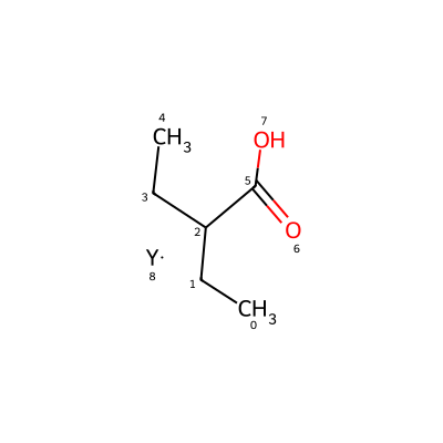 CCC(CC)C(=O)O.[Y]